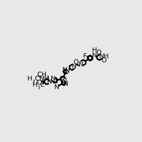 CC(C)NC(=O)C1(C)CCN(c2ccc(-c3cc(-c4cnn(C5CCN(C(=O)CN6CCC(c7ccc(NC8CCC(=O)NC8=O)cc7F)CC6)CC5)c4)cn4ncc(C#N)c34)cn2)CC1